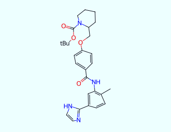 Cc1ccc(-c2ncc[nH]2)cc1NC(=O)c1ccc(OCC2CCCCN2C(=O)OC(C)(C)C)cc1